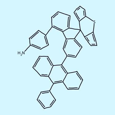 Nc1ccc(-c2cccc3c2-c2cc(-c4c5ccccc5c(-c5ccccc5)c5ccccc45)ccc2C32c3ccccc3Sc3ccccc32)cc1